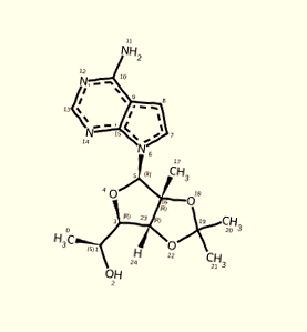 C[C@H](O)[C@H]1O[C@@H](n2ccc3c(N)ncnc32)[C@]2(C)OC(C)(C)O[C@H]12